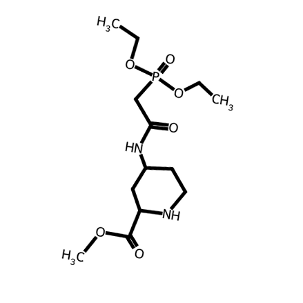 CCOP(=O)(CC(=O)NC1CCNC(C(=O)OC)C1)OCC